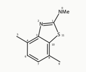 CNc1nc2c(C)ccc(C)c2s1